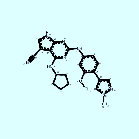 COc1cc(Nc2nc(NC3CCCC3)c3c(C#N)c[nH]c3n2)ccc1-c1cnn(C)c1